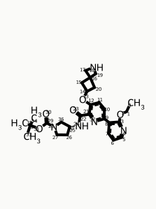 CCOc1ncccc1-c1ccc(OC2CC3(CNC3)C2)c(C(=O)N[C@@H]2CCN(C(=O)OC(C)(C)C)C2)n1